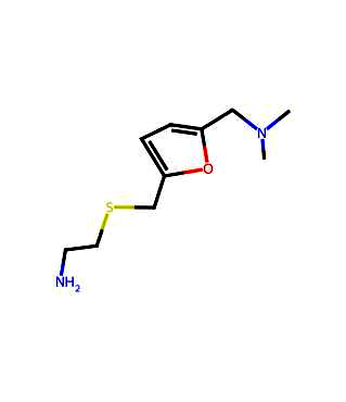 CN(C)Cc1ccc(CSCCN)o1